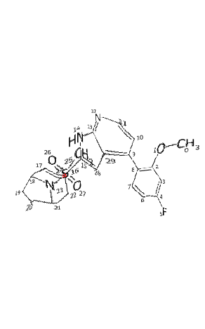 COc1cc(F)ccc1-c1ccnc2[nH]c(C3=CC4CCC(C3)N4S(C)(=O)=O)cc12